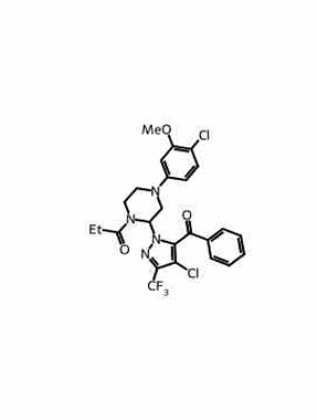 CCC(=O)N1CCN(c2ccc(Cl)c(OC)c2)CC1n1nc(C(F)(F)F)c(Cl)c1C(=O)c1ccccc1